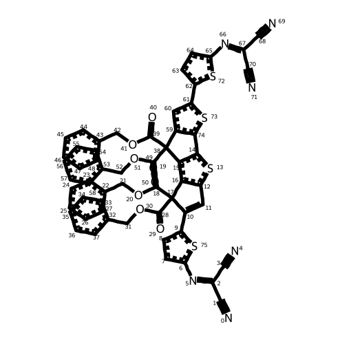 N#CC(C#N)=Nc1ccc(C2=Cc3sc4c(c3C2(C(=O)OCc2ccccc2)C(=O)OCc2ccccc2)C(C(=O)OCc2ccccc2)(C(=O)OCc2ccccc2)c2cc(-c3ccc(N=C(C#N)C#N)s3)sc2-4)s1